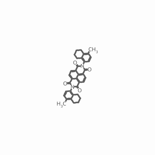 Cc1ccc(N2C(=O)c3ccc4c5c(ccc(c35)C2=O)C(=O)N(c2ccc(C)c3c2CCCC3)C4=O)c2c1CCCC2